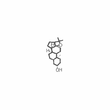 CC1(C)O[C@]23CCC4[C@@H](CCC5C[C@@H](O)CC[C@@]54C)[C@@H]2CCC13